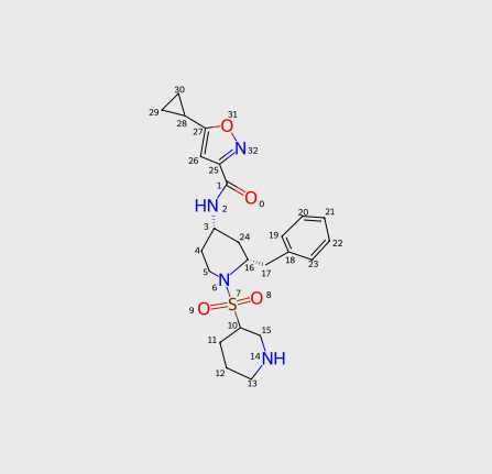 O=C(N[C@H]1CCN(S(=O)(=O)C2CCCNC2)[C@@H](Cc2ccccc2)C1)c1cc(C2CC2)on1